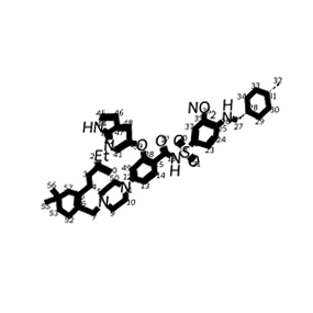 C=C(CC)CCC1=C(CN2CCN(c3ccc(C(=O)NS(=O)(=O)c4ccc(NC[C@H]5CC[C@@H](C)CC5)c([N+](=O)[O-])c4)c(Oc4cnc5[nH]ccc5c4)c3)CC2)CCC(C)(C)C1